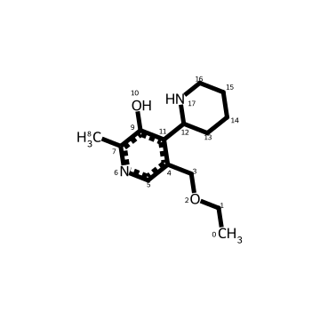 CCOCc1cnc(C)c(O)c1C1CCCCN1